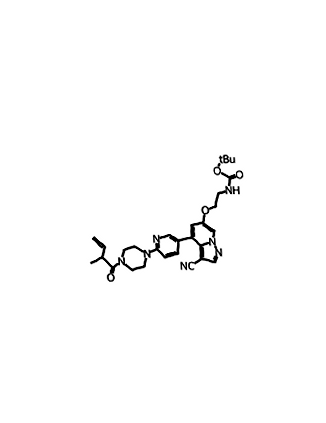 C=CC(C)C(=O)N1CCN(c2ccc(-c3cc(OCCNC(=O)OC(C)(C)C)cn4ncc(C#N)c34)cn2)CC1